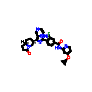 N[N+]12C=CN=CC1=C([C@@H]1CC[C@H]3CCC(=O)N3C1)N=C2c1ccc(C(=O)Nc2cc(OC3CC3)ccn2)cc1F